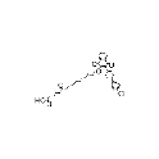 O=C(O)CCCCC(=O)CCCCCCCCCCOC1=C(C2CCC(c3ccc(Cl)cc3)CC2)C(=O)c2ccccc2C1=O